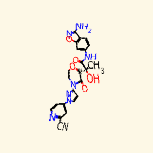 CC(O)(C(=O)Nc1ccc2c(N)noc2c1)[C@H]1OCCN(c2ccn(-c3ccnc(C#N)c3)n2)C1=O